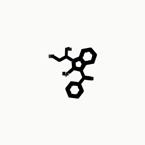 CCCCC(CO)n1c(C)c(C(=O)c2ccccc2)c2ccccc21